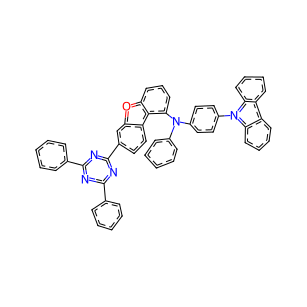 c1ccc(-c2nc(-c3ccccc3)nc(-c3ccc4c(c3)oc3cccc(N(c5ccccc5)c5ccc(-n6c7ccccc7c7ccccc76)cc5)c34)n2)cc1